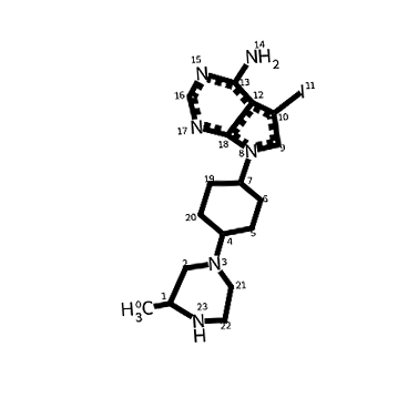 CC1CN(C2CCC(n3cc(I)c4c(N)ncnc43)CC2)CCN1